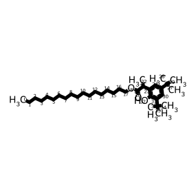 CCCCCCCCCCCCCCCCCCOC(=O)C(C)c1cc(C(C)(C)C)cc(C(C)(C)C)c1O